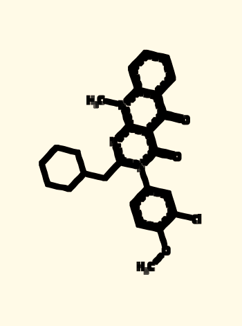 COc1ccc(-n2c(CC3CCCCC3)nc3c(c(=O)c4ccccc4n3C)c2=O)cc1Cl